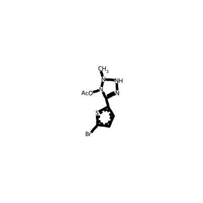 CC(=O)ON1C(c2ccc(Br)s2)=NNN1C